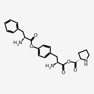 N[C@@H](Cc1ccc(OC(=O)[C@@H](N)Cc2ccccc2)cc1)C(=O)OC(=O)[C@@H]1CCCN1